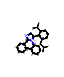 CC(C)Cc1cccc(C(C)C)c1-c1cnc2c3ccccc3c3ccccc3n12